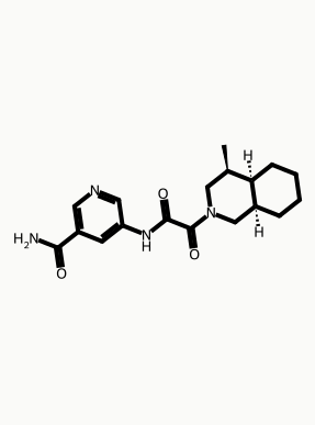 C[C@@H]1CN(C(=O)C(=O)Nc2cncc(C(N)=O)c2)C[C@@H]2CCCC[C@@H]21